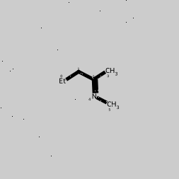 CCCC(C)=NC